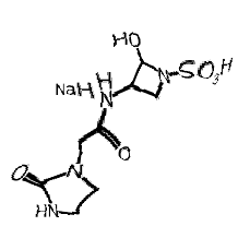 O=C(CN1CCNC1=O)NC1CN(S(=O)(=O)O)C1O.[NaH]